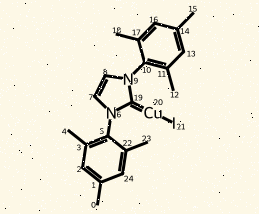 Cc1cc(C)c(-n2ccn(-c3c(C)cc(C)cc3C)[c]2=[Cu][I])c(C)c1